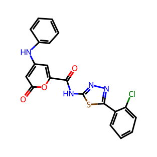 O=C(Nc1nnc(-c2ccccc2Cl)s1)c1cc(Nc2ccccc2)cc(=O)o1